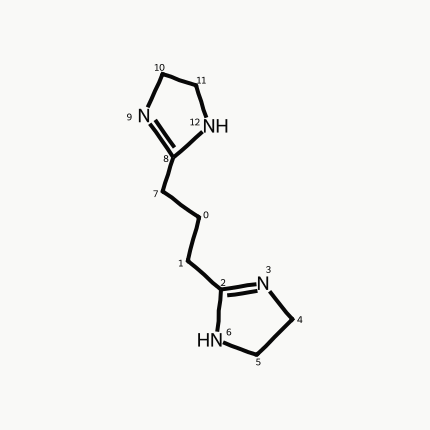 C(CC1=NCCN1)CC1=NCCN1